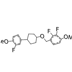 COc1ccc(C2CCC(OCc3ccc(OC)c(F)c3F)CC2)cc1F